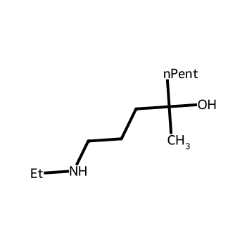 CCCCCC(C)(O)CCCNCC